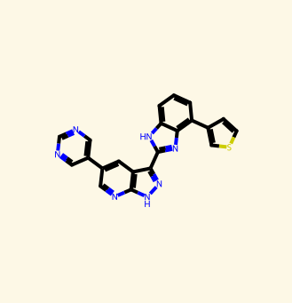 c1cc(-c2ccsc2)c2nc(-c3n[nH]c4ncc(-c5cncnc5)cc34)[nH]c2c1